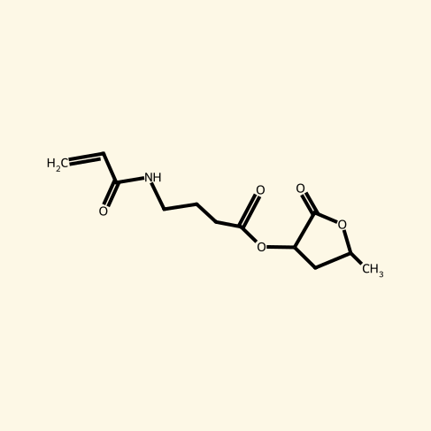 C=CC(=O)NCCCC(=O)OC1CC(C)OC1=O